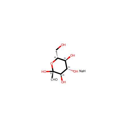 O=C[C@@]1(O)O[C@H](CO)[C@@H](O)[C@H](O)[C@H]1O.[NaH]